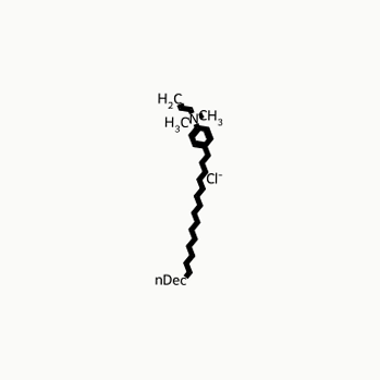 C=CC[N+](C)(C)c1ccc(CCCCCCCCCCCCCCCCCCCCCCCCC)cc1.[Cl-]